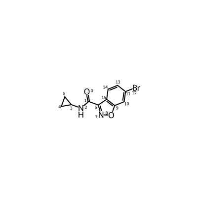 O=C(NC1CC1)c1noc2cc(Br)ccc12